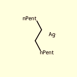 [Ag].[CH2]CCCCCCCCCCC